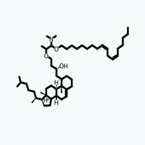 CCCCC/C=C\C/C=C\CCCCCCCCOC(C(C)OCC[C@H](O)CC1CCCC2=CC[C@@H]3[C@H]4CC[C@@H]([C@@H](C)CCCC(C)C)[C@]4(C)CC[C@H]3[C@@]21C)N(C)C